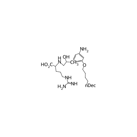 CC(O)CNC(CCCNC(=N)N)C(=O)O.CCCCCCCCCCCCCCOc1cccc(N)c1